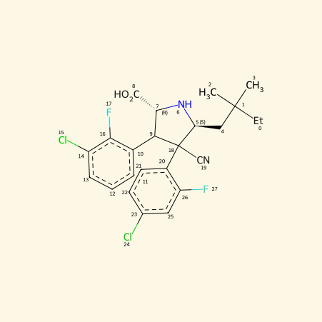 CCC(C)(C)C[C@@H]1N[C@@H](C(=O)O)C(c2cccc(Cl)c2F)C1(C#N)c1ccc(Cl)cc1F